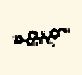 NC(C(=O)Nc1cccc2c(-c3cn[nH]c3)c[nH]c12)c1ccc(CO)cc1